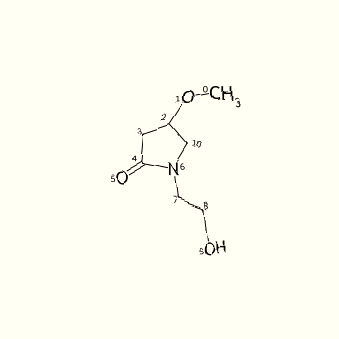 COC1CC(=O)N(CCO)C1